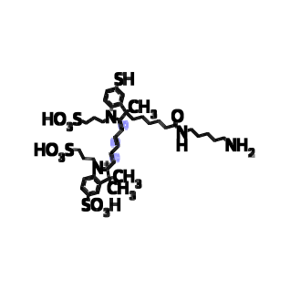 CC1(C)C(/C=C/C=C/C=C2\N(CCCS(=O)(=O)O)c3ccc(S)cc3C2(C)CCCCCC(=O)NCCCCCN)=[N+](CCCS(=O)(=O)O)c2ccc(S(=O)(=O)O)cc21